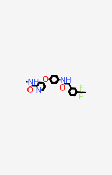 CNC(=O)c1cc(Oc2ccc(NC(=O)Cc3cccc(C(C)(F)F)c3)cc2)ccn1